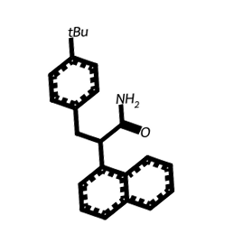 CC(C)(C)c1ccc(CC(C(N)=O)c2cccc3ccccc23)cc1